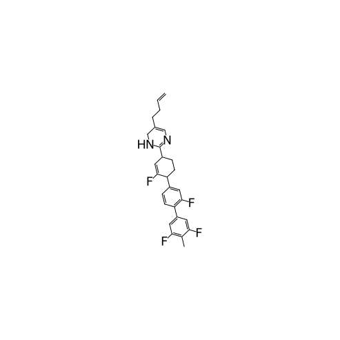 C=CCCC1=CN=C(C2C=C(F)C(c3ccc(-c4cc(F)c(C)c(F)c4)c(F)c3)CC2)NC1